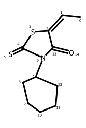 CC=C1SC(=S)N(C2CCCCC2)C1=O